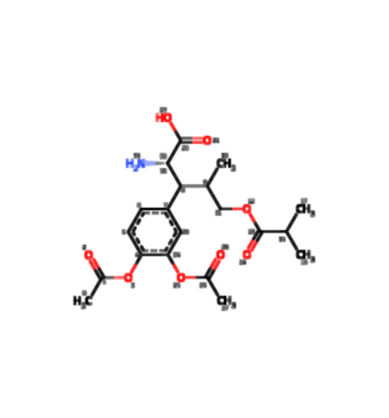 CC(=O)Oc1ccc(C(C(C)COC(=O)C(C)C)[C@H](N)C(=O)O)cc1OC(C)=O